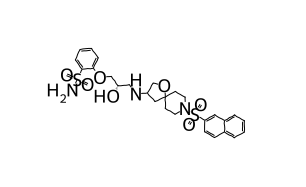 NS(=O)(=O)c1ccccc1OC[C@@H](O)CNC1COC2(CCN(S(=O)(=O)c3ccc4ccccc4c3)CC2)C1